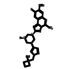 COc1cc2nc(N)n3nc([C@H]4C[C@@H](F)CN(c5cnn(CC6(O)CCC6)c5)C4)nc3c2cc1F